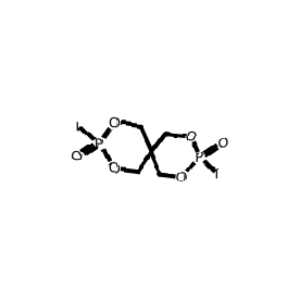 O=P1(I)OCC2(CO1)COP(=O)(I)OC2